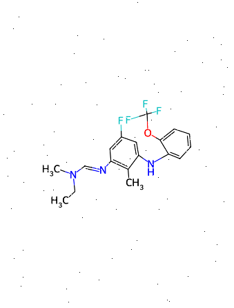 CCN(C)C=Nc1cc(F)cc(Nc2ccccc2OC(F)(F)F)c1C